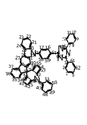 c1ccc(-c2nc(-c3ccccc3)nc(-c3ccc(-n4c5ccccc5c5cc6c(cc54)C4(c5ccccc5-6)c5ccccc5N(c5ccccc5)c5ccccc54)cc3)n2)cc1